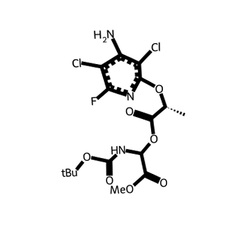 COC(=O)C(NC(=O)OC(C)(C)C)OC(=O)[C@@H](C)Oc1nc(F)c(Cl)c(N)c1Cl